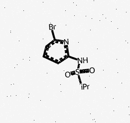 CC(C)S(=O)(=O)Nc1cccc(Br)n1